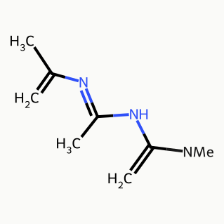 C=C(C)/N=C(\C)NC(=C)NC